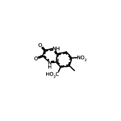 Cc1c([N+](=O)[O-])cc2[nH]c(=O)c(=O)[nH]c2c1C(=O)O